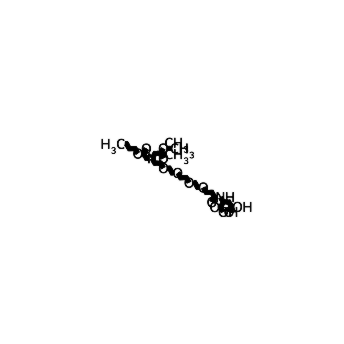 CCCCOC(=O)CN(CCOCCOCCOCCOCCC(=O)NC(CC(=O)O)C(=O)O)CC(=O)OC(C)(C)C